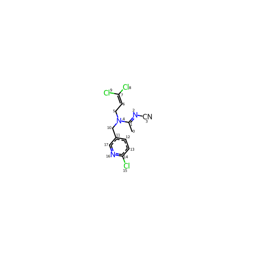 C/C(=N\C#N)N(CC=C(Cl)Cl)Cc1ccc(Cl)nc1